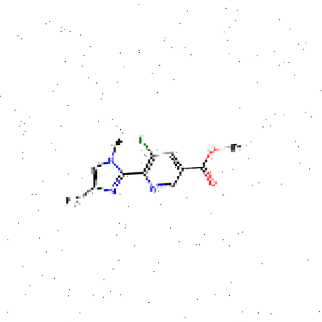 CC(C)OC(=O)c1cnc(-c2nc(C(F)(F)F)cn2C(C)C)c(F)c1